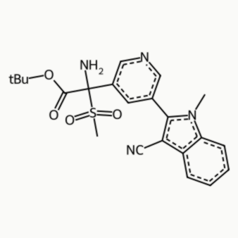 Cn1c(-c2cncc(C(N)(C(=O)OC(C)(C)C)S(C)(=O)=O)c2)c(C#N)c2ccccc21